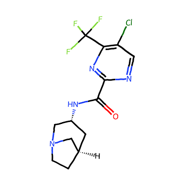 O=C(N[C@@H]1C[C@H]2CCN(C2)C1)c1ncc(Cl)c(C(F)(F)F)n1